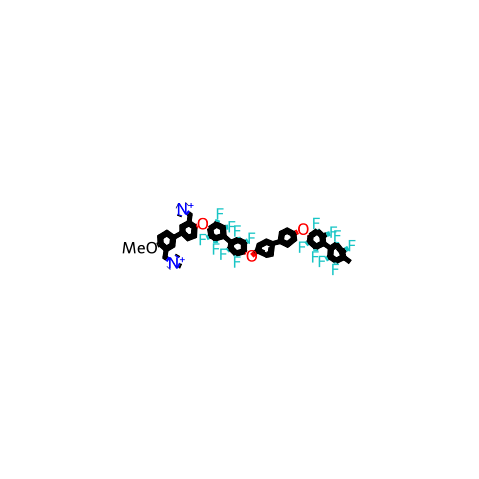 COc1ccc(-c2ccc(Oc3c(F)c(F)c(-c4c(F)c(F)c(Oc5ccc(-c6ccc(Oc7c(F)c(F)c(-c8c(F)c(F)c(C)c(F)c8F)c(F)c7F)cc6)cc5)c(F)c4F)c(F)c3F)c(C[N+](C)(C)C)c2)cc1C[N+](C)(C)C